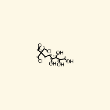 O=CC(CCl)(CCl)CCC(O)C(O)C(O)CO